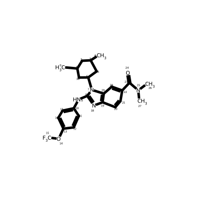 CC1CC(C)CC(n2c(Nc3ccc(OC(F)(F)F)cc3)nc3ccc(C(=O)N(C)C)cc32)C1